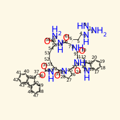 N=C(N)NCCC[C@@H]1NC(=O)[C@H](Cc2c[nH]c3ccccc23)NC(=O)C2CCCN2C(=O)[C@@H](NC(=O)OCC2c3ccccc3-c3ccccc32)CCCC[C@@H](C(N)=O)NC1=O